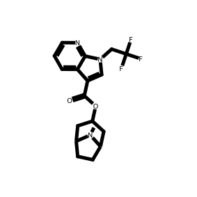 CN1C2CCC1CC(OC(=O)c1cn(CC(F)(F)F)c3ncccc13)C2